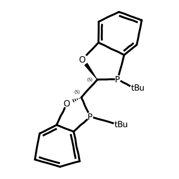 CC(C)(C)P1c2ccccc2O[C@@H]1[C@H]1Oc2ccccc2P1C(C)(C)C